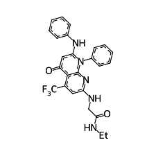 CCNC(=O)CNc1cc(C(F)(F)F)c2c(=O)cc(Nc3ccccc3)n(-c3ccccc3)c2n1